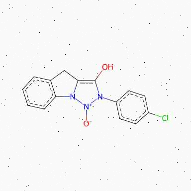 [O-][N+]1N(c2ccc(Cl)cc2)C(O)=C2Cc3ccccc3N21